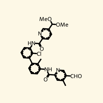 COC(OC)c1ccc(C(=O)Nc2cccc(-c3cccc(NC(=O)c4cc(C)c(C=O)cn4)c3C)c2Cl)nc1